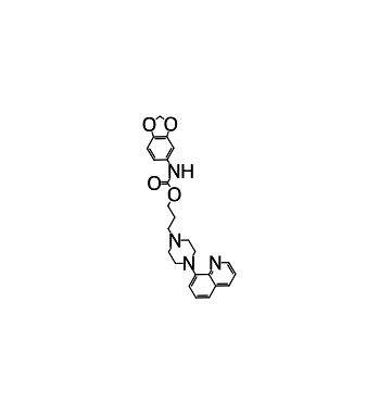 O=C(Nc1ccc2c(c1)OCO2)OCCCN1CCN(c2cccc3cccnc23)CC1